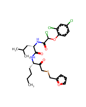 CCCC[C@H](NC(=O)[C@H](CC(C)C)NC(=O)C(Cl)Oc1ccc(Cl)cc1Cl)C(=O)CSCc1ccco1